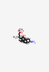 COC(=O)CC[C@@H](C)[C@H]1CC[C@H]2[C@@H]3CC[C@@H]4C[C@@H](N)CC[C@]4(C)[C@H]3C[C@H](O)[C@]12C